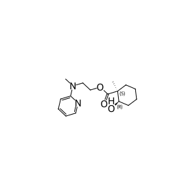 CN(CCOC(=O)[C@@]1(C)CCCC[C@H]1O)c1ccccn1